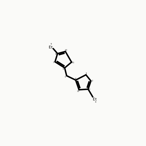 CCC1=CCC(CC2=CC(CC)=CC2)=C1